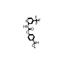 CONc1ccc(OC(=O)Nc2cc(C(F)(F)F)ccn2)cc1